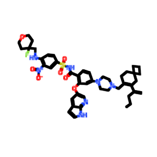 C=C(CCC)C1=C(CN2CCN(c3ccc(C(=O)NS(=O)(=O)c4ccc(NCC5(F)CCOCC5)c([N+](=O)[O-])c4)c(Oc4cnc5[nH]ccc5c4)c3)CC2)CCC2(CCC2)C1